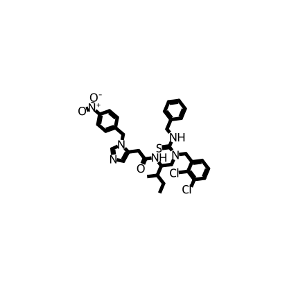 CCC(C)C(CN(Cc1cccc(Cl)c1Cl)C(=S)NCc1ccccc1)NC(=O)Cc1cncn1Cc1ccc([N+](=O)[O-])cc1